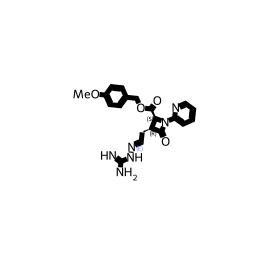 COc1ccc(COC(=O)[C@@H]2[C@@H](C/C=N/NC(=N)N)C(=O)N2c2ccccn2)cc1